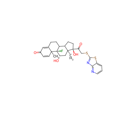 CC12C[C@H](O)[C@@]3(F)C(CCC4=CC(=O)C=CC43C)C1CC[C@]2(O)C(=O)CSc1nc2ncccc2s1